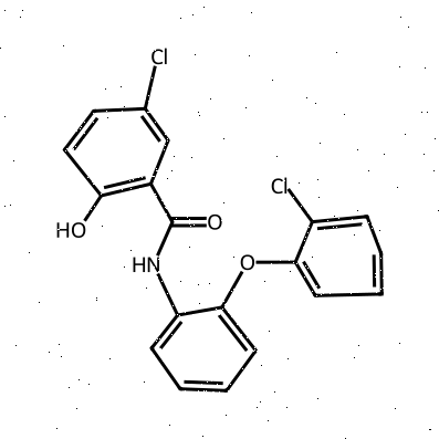 O=C(Nc1ccccc1Oc1ccccc1Cl)c1cc(Cl)ccc1O